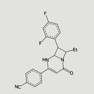 CCC1C(c2ccc(F)cc2F)C2NC(c3ccc(C#N)cc3)=CC(=O)N12